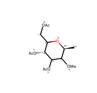 COC1C(OC(C)=O)[C@H](OC(C)=O)C(COC(C)=O)O[C@H]1C